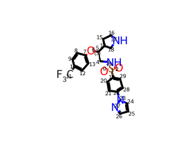 O=S(=O)(NC[C@@H](Oc1ccc(C(F)(F)F)cc1)C1CCNC1)c1ccc(-n2cccn2)cc1